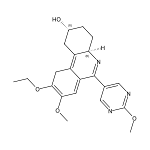 CCOC1=C(OC)C=C2C(c3cnc(OC)nc3)=N[C@@H]3CC[C@@H](O)CC3=C2C1